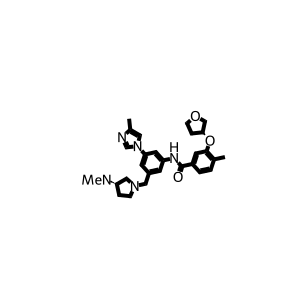 CN[C@H]1CCN(Cc2cc(NC(=O)c3ccc(C)c(O[C@@H]4CCOC4)c3)cc(-n3cnc(C)c3)c2)C1